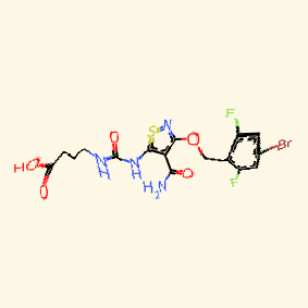 NC(=O)c1c(OCc2c(F)cc(Br)cc2F)nsc1NC(=O)NCCCC(=O)O